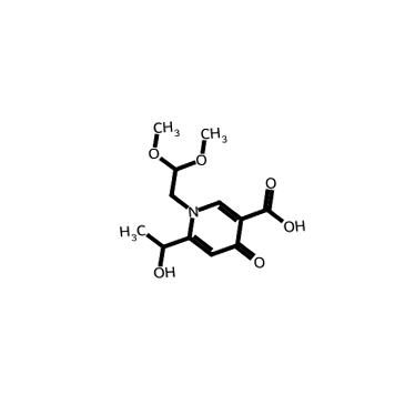 COC(Cn1cc(C(=O)O)c(=O)cc1C(C)O)OC